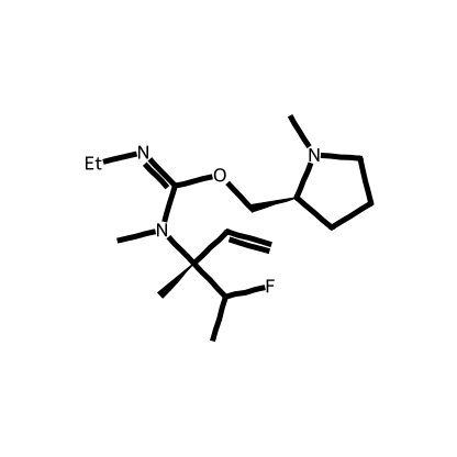 C=C[C@](C)(C(C)F)N(C)/C(=N\CC)OC[C@@H]1CCCN1C